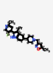 Cc1cc(-c2[nH]c3ccc(C4CCN(Cc5cc(C)on5)CC4)cc3c2C(C)C)c(F)cn1